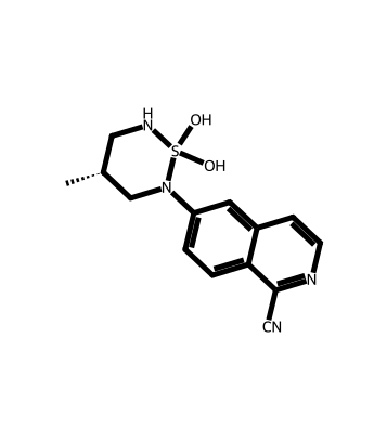 C[C@@H]1CNS(O)(O)N(c2ccc3c(C#N)nccc3c2)C1